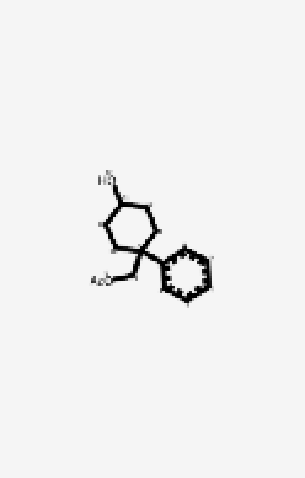 CC(=O)OCC1(c2ccccc2)CCC(O)CC1